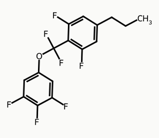 CCCc1cc(F)c(C(F)(F)Oc2cc(F)c(F)c(F)c2)c(F)c1